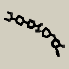 COC(OC)C1CCN(c2ccc(C(=O)N[C@H]3CC[C@H](Oc4ccc(C#N)c(Cl)c4)CC3)nn2)CC1